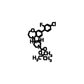 CC(C)(C)OC(=O)N1CC[C@H]2[C@@H](C1)c1cc(-c3ccc(Cl)cc3F)cc3c1N2CCCO3